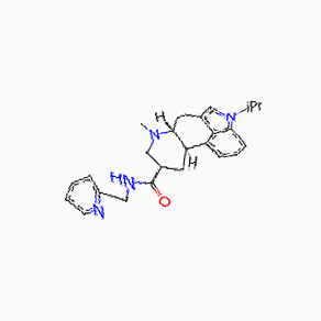 CC(C)n1cc2c3c(cccc31)[C@H]1CC(C(=O)NCc3ccccn3)CN(C)[C@@H]1C2